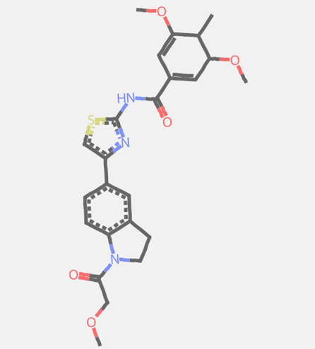 COCC(=O)N1CCc2cc(-c3csc(NC(=O)C4=CC(OC)C(C)C(OC)=C4)n3)ccc21